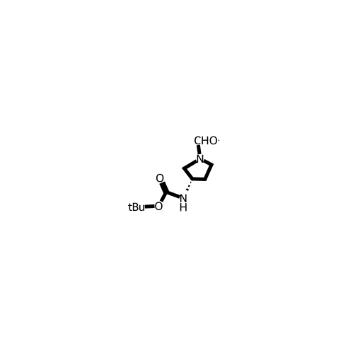 CC(C)(C)OC(=O)N[C@H]1CCN([C]=O)C1